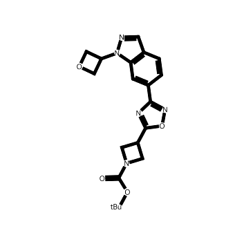 CC(C)(C)OC(=O)N1CC(c2nc(-c3ccc4cnn(C5COC5)c4c3)no2)C1